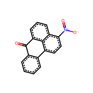 O=C1c2ccccc2-c2ccc([N+](=O)[O-])c3cccc1c23